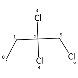 [CH2]CC(Cl)(Cl)[CH]Cl